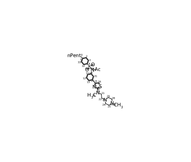 CCCCCc1ccc(S(=O)(=O)N(C(C)=O)c2cccc(-c3csc(N(C)CCN4CCN(C)CC4)n3)c2)cc1